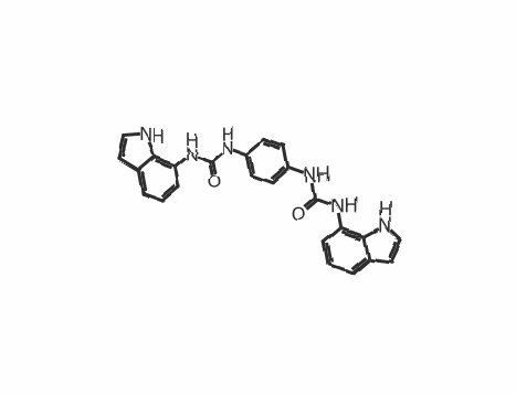 O=C(Nc1ccc(NC(=O)Nc2cccc3cc[nH]c23)cc1)Nc1cccc2cc[nH]c12